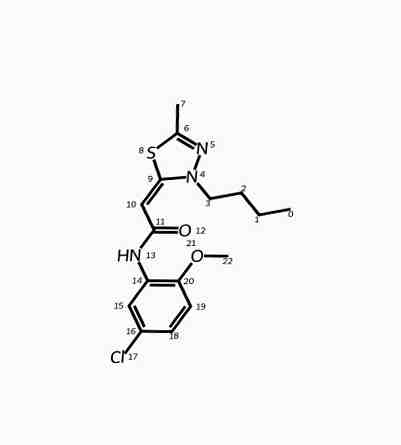 CCCCN1N=C(C)SC1=CC(=O)Nc1cc(Cl)ccc1OC